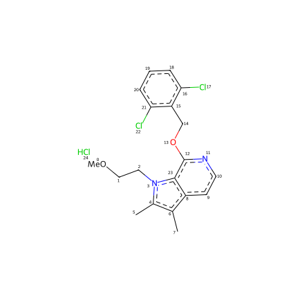 COCCn1c(C)c(C)c2ccnc(OCc3c(Cl)cccc3Cl)c21.Cl